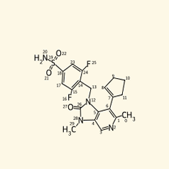 Cc1ncc2c(c1C1=CCCC1)n(Cc1c(F)cc(S(N)(=O)=O)cc1F)c(=O)n2C